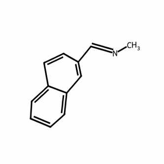 CN=Cc1ccc2ccccc2c1